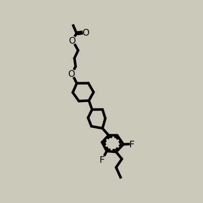 CCCc1c(F)cc(C2CCC(C3CCC(OCCCOC(C)=O)CC3)CC2)cc1F